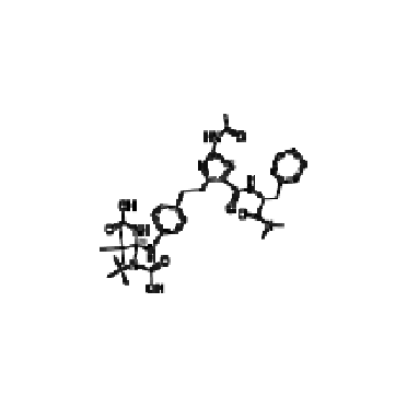 CC(=O)Nc1nc(CCc2ccc(N[C@@](NC(=O)O)(N(C(=O)O)C(C)(C)C)C(C)(C)C)cc2)c(C(=O)NC(Cc2ccccc2)C(=O)N(C)C)s1